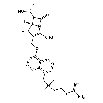 C[C@@H](O)[C@H]1C(=O)N2C(C=O)=C(COc3cccc4c(C[N+](C)(C)CCSC(=N)N)cccc34)[C@H](C)[C@H]12